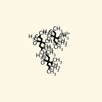 CC(C)CC(CC(C)C)(C(=O)[O-])C(C)C.CC(C)CC(CC(C)C)(C(=O)[O-])C(C)C.CC(C)CC(CC(C)C)(C(=O)[O-])C(C)C.[Al+3]